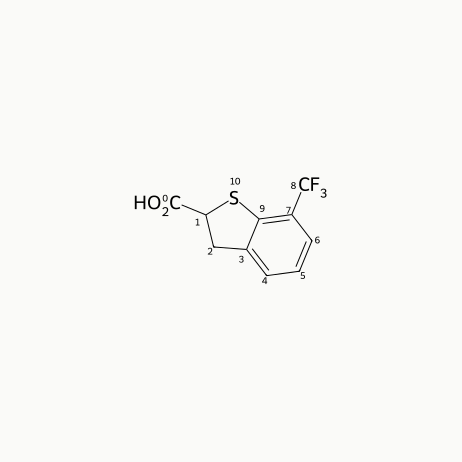 O=C(O)C1Cc2cccc(C(F)(F)F)c2S1